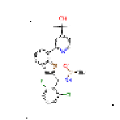 CC(C)(O)c1ccnc(-c2cccc3cc([C@H](N[S@@+]([O-])C(C)(C)C)c4c(F)cccc4Cl)sc23)c1